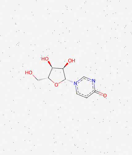 O=c1ccn([C@@H]2O[C@H](CO)[C@@H](O)[C@H]2O)cn1